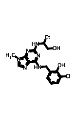 CCC(CO)Nc1nc(NCc2cccc(Cl)c2O)c2ncn(C)c2n1